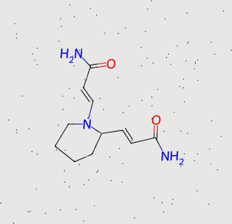 NC(=O)C=CC1CCCCN1C=CC(N)=O